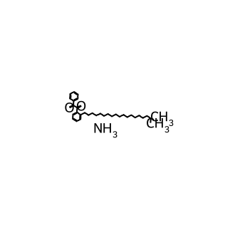 CC(C)CCCCCCCCCCCCCCCCCc1ccccc1C(=O)C(=O)c1ccccc1.N